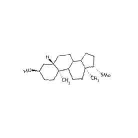 CS[C@H]1CCC2C3CC[C@H]4C[C@H](O)CC[C@]4(C)C3CC[C@@]21C